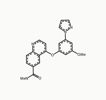 CNC(=O)c1ccc2nccc(Oc3cc(OC)cc(-n4cccn4)c3)c2c1